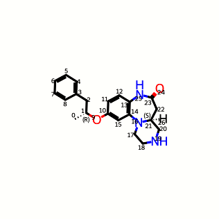 C[C@H](Cc1ccccc1)Oc1ccc2c(c1)N1CCNC[C@@H]1CC(=O)N2